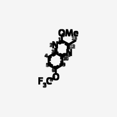 COc1nc2ccc(OC(F)(F)F)cc2nc1C